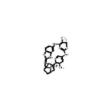 Cc1cnc(Nc2cnc(C3CC4CCC(C(C)(C)C)(C3)N4C(=O)O)c(C)c2)nc1Nc1ccc2oc(=O)[nH]c2c1